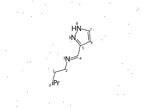 CC(C)CC/N=C/c1cc[nH]n1